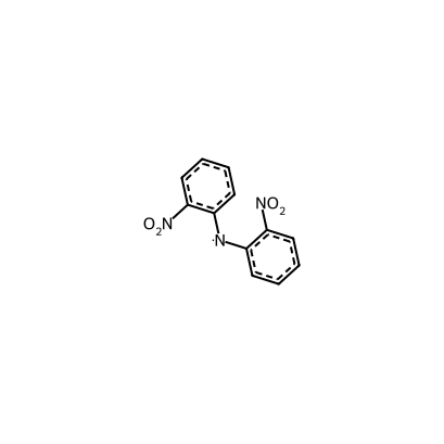 O=[N+]([O-])c1ccccc1[N]c1ccccc1[N+](=O)[O-]